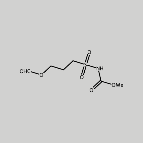 COC(=O)NS(=O)(=O)CCCOC=O